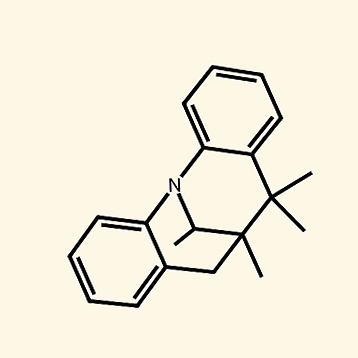 CC1N2c3ccccc3CC1(C)C(C)(C)c1ccccc12